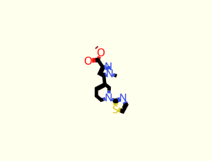 COC(=O)c1cc(C2=CCCN(c3nccs3)C2)n(C)n1